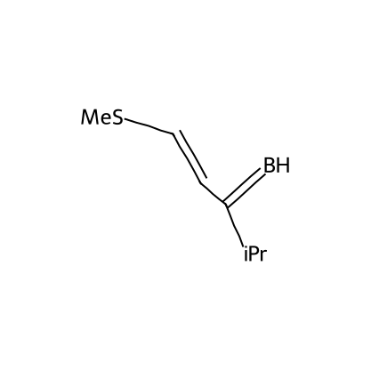 B=C(C=CSC)C(C)C